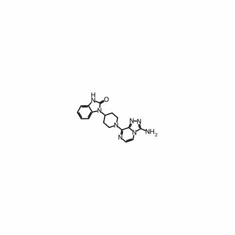 Nc1nnc2c(N3CCC(n4c(=O)[nH]c5ccccc54)CC3)nccn12